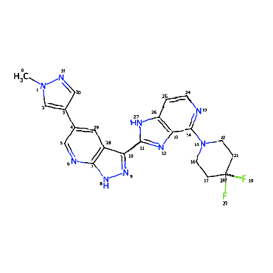 Cn1cc(-c2cnc3[nH]nc(-c4nc5c(N6CCC(F)(F)CC6)nccc5[nH]4)c3c2)cn1